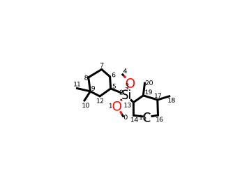 CO[Si](OC)(C1CCCC(C)(C)C1)C1CCCC(C)C1C